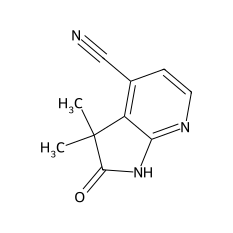 CC1(C)C(=O)Nc2nccc(C#N)c21